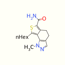 CCCCCCc1sc(C(N)=O)c2c1-c1c(cnn1C)CC2